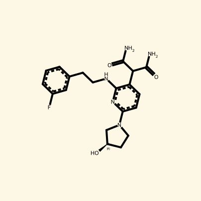 NC(=O)C(C(N)=O)c1ccc(N2CC[C@@H](O)C2)nc1NCCc1cccc(F)c1